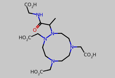 CC(C(=O)NCC(=O)O)N1CCN(CC(=O)O)CCN(CC(=O)O)CCN1CC(=O)O